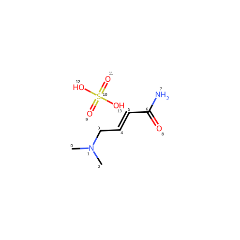 CN(C)CC=CC(N)=O.O=S(=O)(O)O